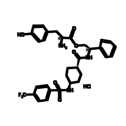 Cl.N[C@@H](Cc1ccc(O)cc1)C(=O)OC[C@@H](NC(=O)[C@H]1CC[C@H](NS(=O)(=O)c2ccc(C(F)(F)F)cc2)CC1)c1ccccc1